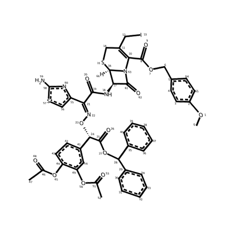 COc1ccc(COC(=O)C2=C(CI)CS[C@@H]3[C@H](NC(=O)C(=NO[C@H](C(=O)OC(c4ccccc4)c4ccccc4)c4ccc(OC(C)=O)c(OC(C)=O)c4)c4csc(N)n4)C(=O)N23)cc1